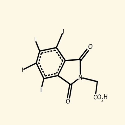 O=C(O)CN1C(=O)c2c(I)c(I)c(I)c(I)c2C1=O